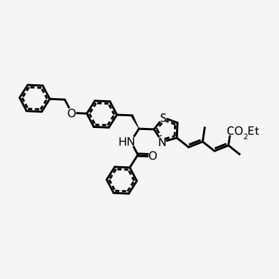 CCOC(=O)/C(C)=C\C(C)=C\c1csc([C@H](Cc2ccc(OCc3ccccc3)cc2)NC(=O)c2ccccc2)n1